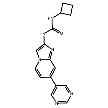 O=C(Nc1cn2ccc(-c3cncnc3)cc2n1)NC1CCC1